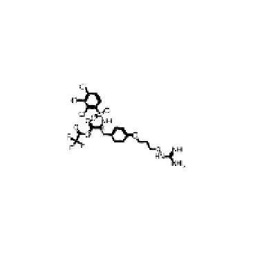 N=C(N)NOCCCOc1ccc(C[C@H](NS(=O)(=O)c2ccc(Cl)c(Cl)c2Cl)C(=O)OC(=O)C(F)(F)F)cc1